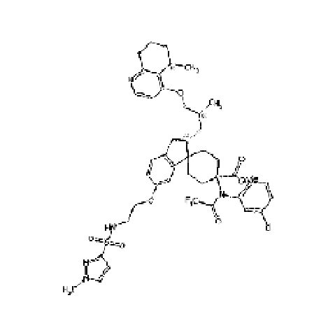 COC(=O)C1(N(C(=O)C(F)(F)F)c2cccc(Cl)c2)CCC2(CC1)c1cc(OCCNS(=O)(=O)c3ccn(C)n3)ccc1C[C@@H]2C[C@@H](C)COc1ccnc2c1[C@H](C)CCC2